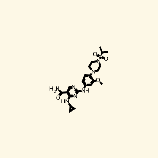 COc1cc(Nc2ncc(C(N)=O)c(NC3CC3)n2)ccc1N1CCN(S(=O)(=O)C(C)C)CC1